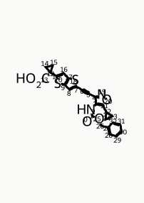 O=C(Nc1c(C#Cc2cc3sc(C4(C(=O)O)CC4)cc3s2)noc1C1CC1)OCc1ccccc1